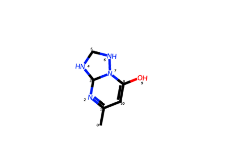 CC1=NC2NCNN2C(O)=C1